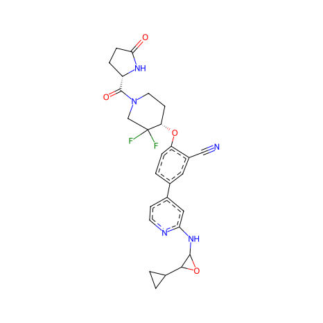 N#Cc1cc(-c2ccnc(NC3OC3C3CC3)c2)ccc1O[C@H]1CCN(C(=O)[C@@H]2CCC(=O)N2)CC1(F)F